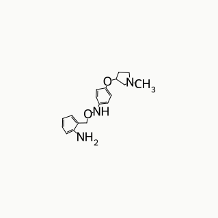 CN1CCC(Oc2ccc(NOCc3ccccc3N)cc2)C1